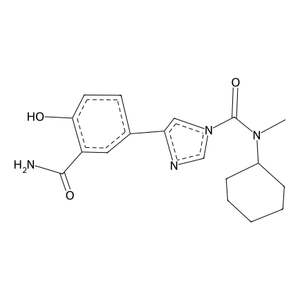 CN(C(=O)n1cnc(-c2ccc(O)c(C(N)=O)c2)c1)C1CCCCC1